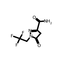 NC(=O)C1=NN(CC(F)(F)F)C(=O)C1